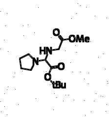 COC(=O)CNC(C(=O)OC(C)(C)C)N1CCCC1